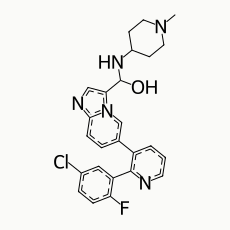 CN1CCC(NC(O)c2cnc3ccc(-c4cccnc4-c4cc(Cl)ccc4F)cn23)CC1